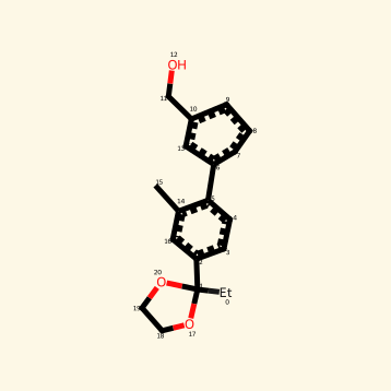 CCC1(c2ccc(-c3cccc(CO)c3)c(C)c2)OCCO1